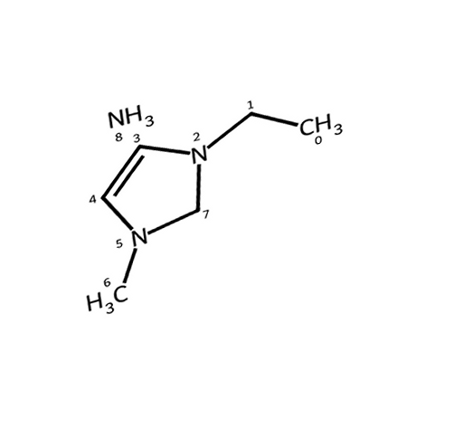 CCN1C=CN(C)C1.N